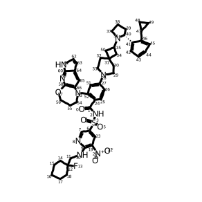 O=C(NS(=O)(=O)c1cnc(NCC2(F)CCCCC2)c([N+](=O)[O-])c1)c1ccc(N2CCC3(CC2)CC(N2CCC[C@@H]2c2ccccc2C2CC2)C3)cc1N1CCCOc2nc3[nH]ccc3cc21